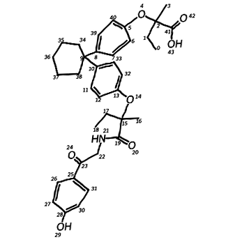 CCC(C)(Oc1ccc(C2(c3ccc(OC(C)(CC)C(=O)NCC(=O)c4ccc(O)cc4)cc3)CCCCC2)cc1)C(=O)O